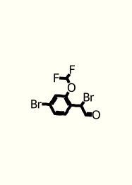 O=CC(Br)c1ccc(Br)cc1OC(F)F